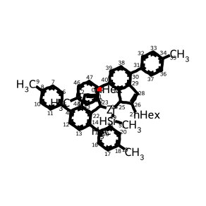 CCCCCCC1=Cc2c(-c3ccc(C)cc3)ccc(-c3ccc(C)cc3)c2[CH]1[Zr]([CH]1C(CCCCCC)=Cc2c(-c3ccc(C)cc3)ccc(-c3ccc(C)cc3)c21)[SiH](C)C